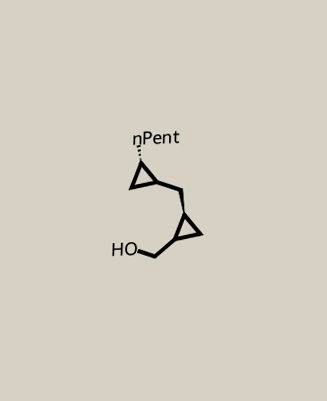 CCCCC[C@H]1CC1C[C@H]1CC1CO